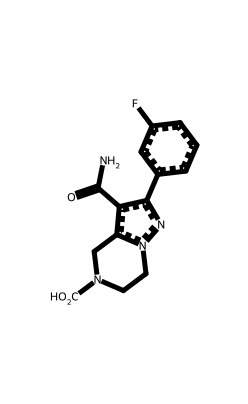 NC(=O)c1c(-c2cccc(F)c2)nn2c1CN(C(=O)O)CC2